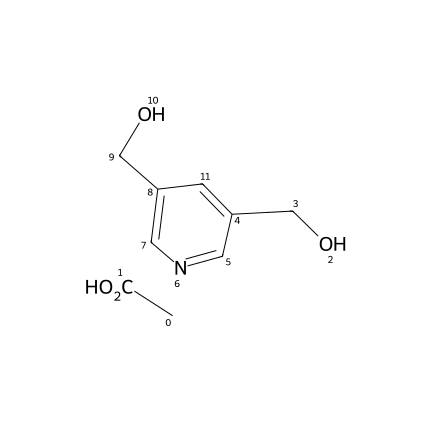 CC(=O)O.OCc1cncc(CO)c1